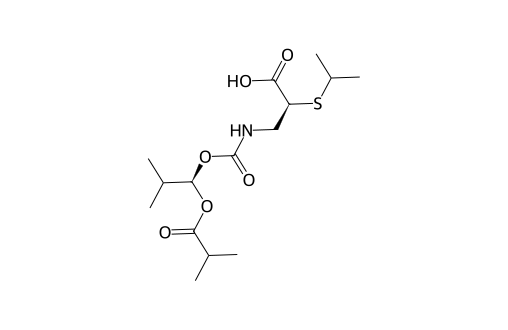 CC(C)S[C@@H](CNC(=O)O[C@@H](OC(=O)C(C)C)C(C)C)C(=O)O